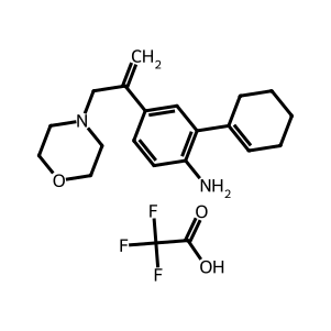 C=C(CN1CCOCC1)c1ccc(N)c(C2=CCCCC2)c1.O=C(O)C(F)(F)F